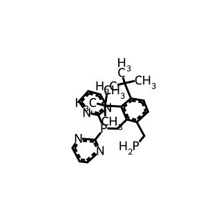 CC(C)(C)c1ccc(CP)c(CP(c2ncccn2)c2ncccn2)c1C(C)(C)C